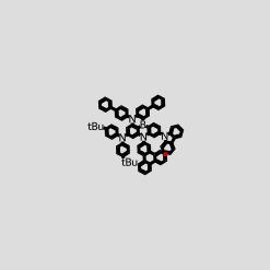 CC(C)(C)c1ccc(N(c2ccc(C(C)(C)C)cc2)c2cc3c4c(c2)N(c2ccc5c6ccccc6c6ccccc6c5c2)c2cc(-n5c6ccccc6c6ccccc65)ccc2B4c2cc(-c4ccccc4)ccc2N3c2ccc(-c3ccccc3)cc2)cc1